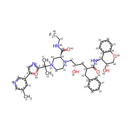 Cc1cncc(-c2cnc(C(C)(C)N3CCN(C[C@@H](O)CC(Cc4ccccc4)C(=O)N[C@H]4c5ccccc5OC[C@H]4O)[C@H](C(=O)NCC(F)(F)F)C3)o2)c1